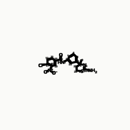 CC1(c2cccc(NC(=O)c3ccc(Cl)c([N+](=O)[O-])c3)c2)CCSC(N)=N1